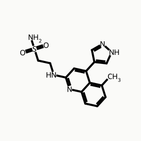 Cc1cccc2nc(NCCS(N)(=O)=O)cc(-c3cn[nH]c3)c12